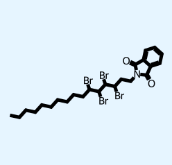 CCCCCCCCCCC(Br)C(Br)C(Br)C(Br)CCN1C(=O)c2ccccc2C1=O